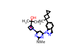 CNc1nc(N2CC3(C(C)(C)O)CC2C3)cc(-n2ncc3ccc(C4(C#N)CC5(CC5)C4)cc32)n1